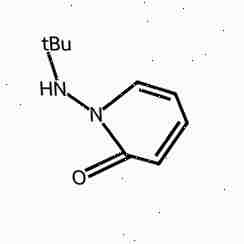 CC(C)(C)Nn1ccccc1=O